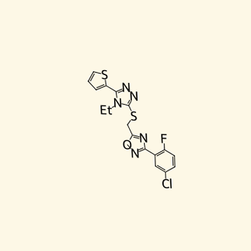 CCn1c(SCc2nc(-c3cc(Cl)ccc3F)no2)nnc1-c1cccs1